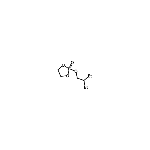 CCC(CC)COP1(=O)OCCO1